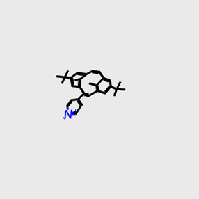 Cc1c2ccc3cc(C(C)(C)C)cc(c(-c4cc[n+](C)cc4)cc1cc(C(C)(C)C)c2)c3C